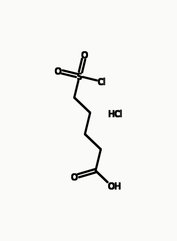 Cl.O=C(O)CCCCS(=O)(=O)Cl